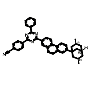 C[C@@H]1C[C@@H]2C[C@H](C)CC(c3ccc4c(ccc5cc(-c6nc(-c7ccccc7)nc(-c7ccc(C#N)cc7)n6)ccc54)c3)(C1)C2